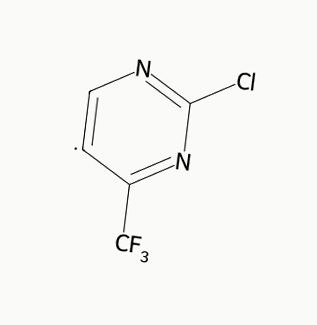 FC(F)(F)c1[c]cnc(Cl)n1